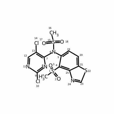 CS(=O)(=O)c1c(N(c2nc(Cl)ncc2Cl)S(C)(=O)=O)ccc2scnc12